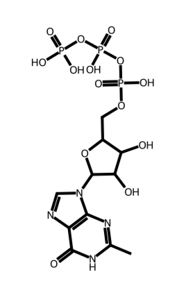 Cc1nc2c(ncn2C2OC(COP(=O)(O)OP(=O)(O)OP(=O)(O)O)C(O)C2O)c(=O)[nH]1